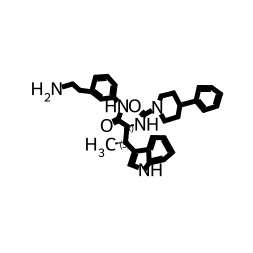 C[C@@H](c1c[nH]c2ccccc12)[C@@H](NC(=O)N1CCC(c2ccccc2)CC1)C(=O)Nc1cccc(CCN)c1